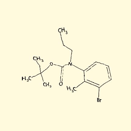 CCCN(C(=O)OC(C)(C)C)c1cccc(Br)c1C